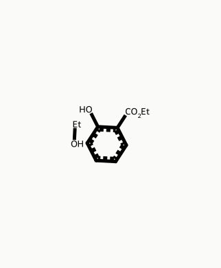 CCO.CCOC(=O)c1ccccc1O